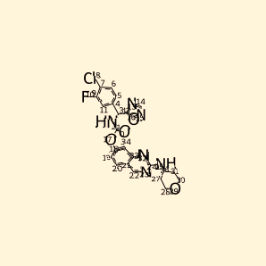 O=C(NC(c1ccc(Cl)c(F)c1)c1ncno1)Oc1ccc2cnc(NC3CCOCC3)nc2c1